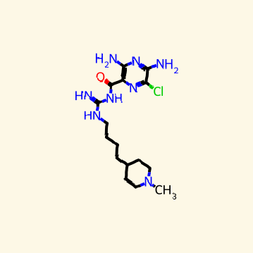 CN1CCC(CCCCNC(=N)NC(=O)c2nc(Cl)c(N)nc2N)CC1